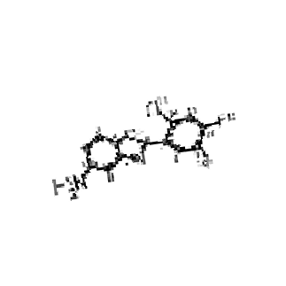 Nc1ccc2oc(-c3cc(F)c(F)cc3Cl)nc2c1